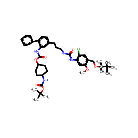 COc1cc(NC(=O)NCCCc2ccc(-c3ccccc3)c(NC(=O)OC3CCC(NC(=O)OC(C)(C)C)CC3)c2)c(Cl)cc1CO[Si](C)(C)C(C)(C)C